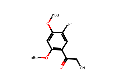 CCCCOc1cc(OCCCC)c(C(C)C)cc1C(=O)CC#N